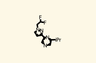 CC(C)c1cncc(-c2ccn(CC(F)F)n2)n1